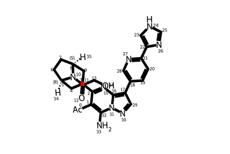 CC(=O)c1c(C2C[C@H]3CC[C@@H](C2)N3C(=O)CO)nc2c(-c3ccc(-c4c[nH]cn4)nc3)cnn2c1N